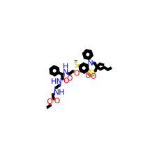 CCCCC1(CC)CN(c2ccccc2)c2cc(SC)c(OCC(=O)N[C@@H](C(=O)NCCNCC(=O)OCC)c3ccccc3)cc2S(=O)(=O)C1